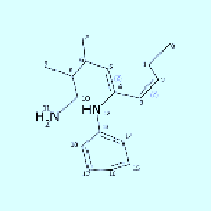 CC/C=C\C(=C\C(C)C(C)CN)Nc1ccccc1